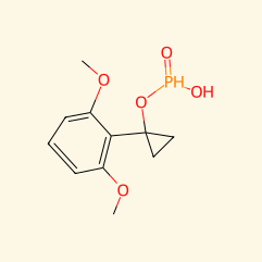 COc1cccc(OC)c1C1(O[PH](=O)O)CC1